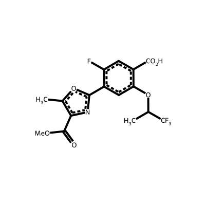 COC(=O)c1nc(-c2cc(OC(C)C(F)(F)F)c(C(=O)O)cc2F)oc1C